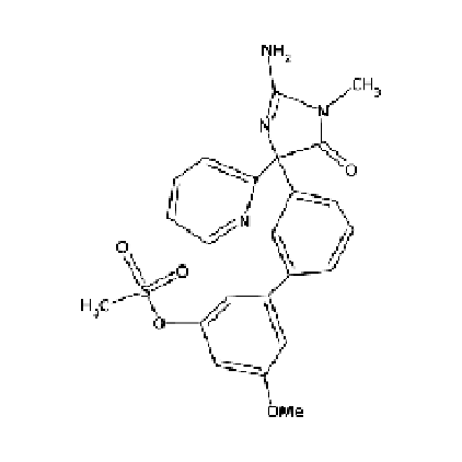 COc1cc(OS(C)(=O)=O)cc(-c2cccc(C3(c4ccccn4)N=C(N)N(C)C3=O)c2)c1